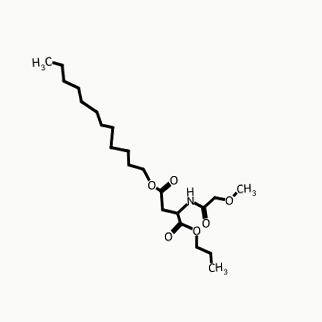 CCCCCCCCCCCCOC(=O)CC(NC(=O)COC)C(=O)OCCC